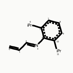 C=CC=Nc1c(C(C)C)cccc1C(C)C